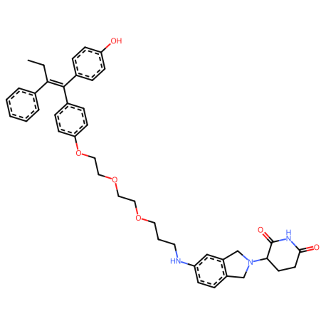 CCC(=C(c1ccc(O)cc1)c1ccc(OCCOCCOCCCNc2ccc3c(c2)CN(C2CCC(=O)NC2=O)C3)cc1)c1ccccc1